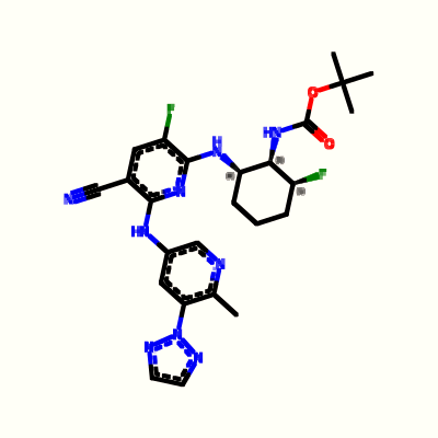 Cc1ncc(Nc2nc(N[C@@H]3CCC[C@H](F)[C@@H]3NC(=O)OC(C)(C)C)c(F)cc2C#N)cc1-n1nccn1